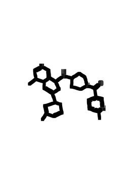 CC1=CC(C2=CC3C(=CN=CC3C)C(NC3CCN(C(=O)c4ccc(C)nc4)CC3)C2)CC=C1